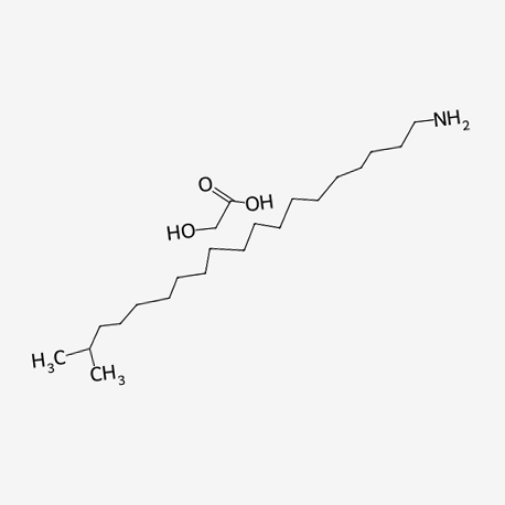 CC(C)CCCCCCCCCCCCCCCCCN.O=C(O)CO